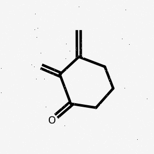 C=C1CCCC(=O)C1=C